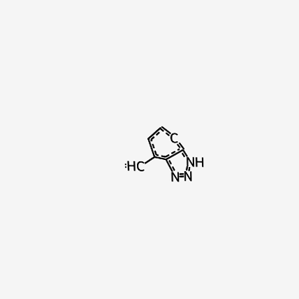 [CH]c1cccc2[nH]nnc12